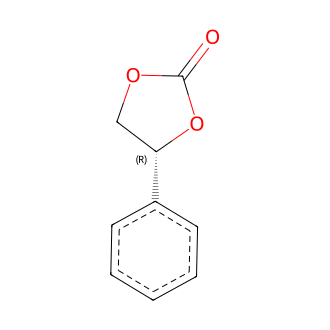 O=C1OC[C@@H](c2ccccc2)O1